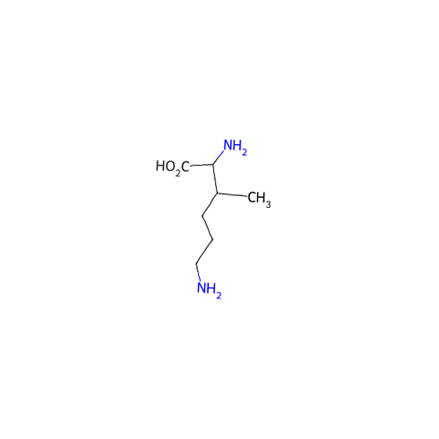 CC(CCCN)C(N)C(=O)O